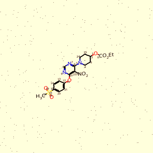 CCOC(=O)OC1CCN(c2ncnc(Oc3ccc(S(C)(=O)=O)cc3)c2[N+](=O)[O-])CC1